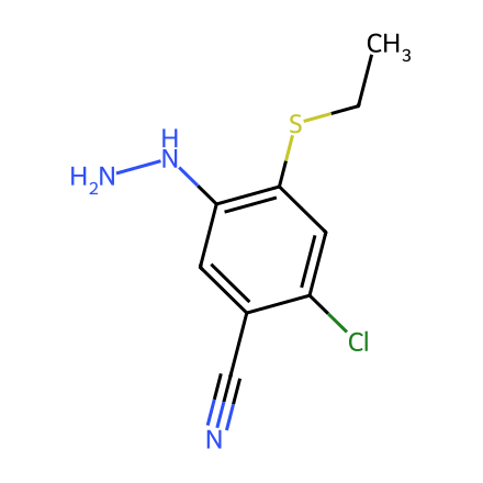 CCSc1cc(Cl)c(C#N)cc1NN